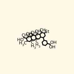 CCC1CC(C2CCCC(C(O)O)C2)C2CC3(C)CC4(C)CC(C)C(C(C)O)C(O)C4(C)C(C)C3C(O)C2C1C